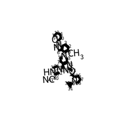 Cc1ccc2c(cnn2C2CCCCO2)c1N1CCc2c(nc(OCC3CCCN3C3CC3)nc2N2CCN[C@@H](CC#N)C2)C1